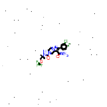 CC(C)(COC(F)(F)F)NC(=O)N1CCn2nc(-c3ccc(F)c(Cl)c3)c(C(N)=O)c2C1